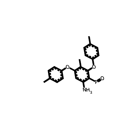 Cc1ccc(Oc2cc(N)c(P=O)c(Oc3ccc(C)cc3)c2C)cc1